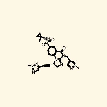 Cn1cc(CN2C(=O)c3cc(S(=O)(=O)NC4(C)CC4)ccc3N3C2=NC[C@@H]3C#Cc2cnn(C)n2)cn1